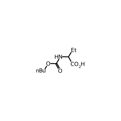 CCCCOC(=O)NC(CC)C(=O)O